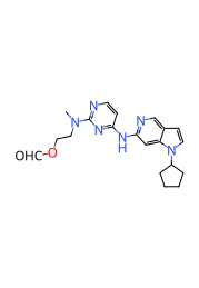 CN(CCOC=O)c1nccc(Nc2cc3c(ccn3C3CCCC3)cn2)n1